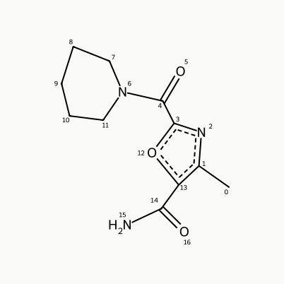 Cc1nc(C(=O)N2CCCCC2)oc1C(N)=O